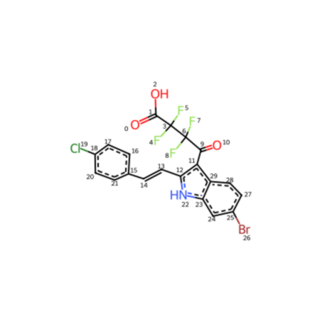 O=C(O)C(F)(F)C(F)(F)C(=O)c1c(C=Cc2ccc(Cl)cc2)[nH]c2cc(Br)ccc12